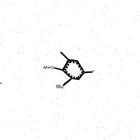 COc1c(C)cc(F)cc1C(C)(C)C